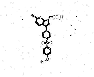 CC(C)Oc1ccc(S(=O)(=O)N2CCC(c3cn(CC(=O)O)c4nc(Br)ccc34)CC2)cc1